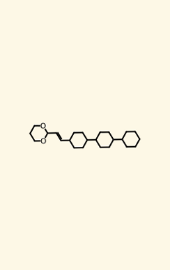 C(=C\C1OCCCO1)/C1CCC(C2CCC(C3CCCCC3)CC2)CC1